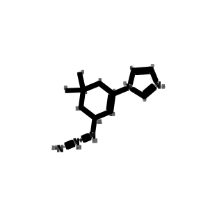 CC1(C)CC(n2ccnc2)=CC(N=[N+]=[N-])C1